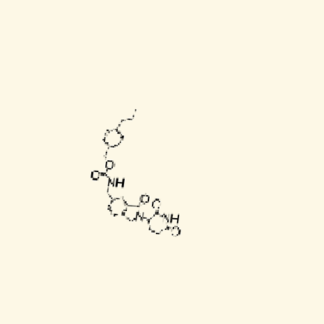 CCCc1ccc(COC(=O)NCc2ccc3c(c2)C(=O)N(C2CCC(=O)NC2=O)C3)cc1